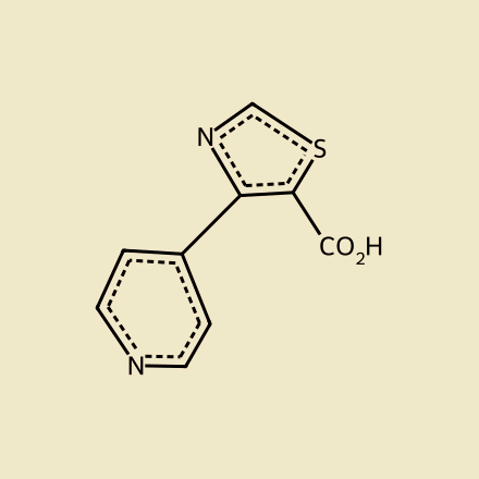 O=C(O)c1scnc1-c1ccncc1